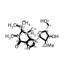 CO[C@@H]1[C@H](O)[C@@H](CO)O[C@H]1n1cnc2c1N(C)C(N(C)C)N(C)C2=O